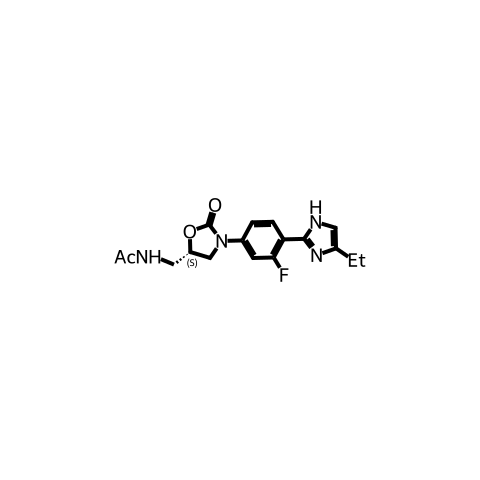 CCc1c[nH]c(-c2ccc(N3C[C@H](CNC(C)=O)OC3=O)cc2F)n1